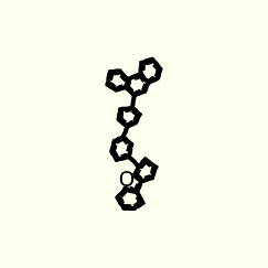 c1cc(-c2ccc(-c3cc4ccccc4c4ccccc34)cc2)cc(-c2cccc3c2oc2ccccc23)c1